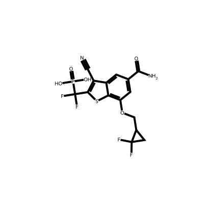 N#Cc1c(C(F)(F)P(=O)(O)O)sc2c(OCC3CC3(F)F)cc(C(N)=O)cc12